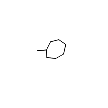 SC1C[CH]CCCC1